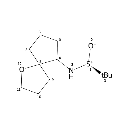 CC(C)(C)[S@+]([O-])NC1CCCC12CCCO2